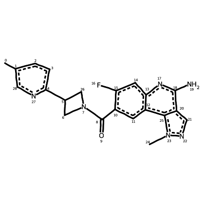 Cc1ccc(C2CN(C(=O)c3cc4c(cc3F)nc(N)c3cnn(C)c34)C2)nc1